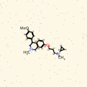 COc1ccc(C2CN(C)Cc3cc(OCCCN(C)C4CC4)ccc32)cc1